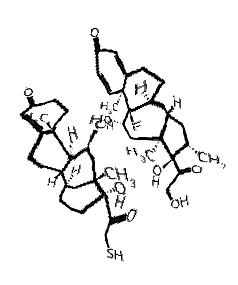 C[C@H]1C[C@H]2[C@@H]3CCC4=CC(=O)C=C[C@]4(C)[C@@]3(F)[C@@H](O)C[C@]2(C)[C@@]1(O)C(=O)CO.C[C@]12CCC(=O)C=C1CC[C@@H]1[C@@H]2[C@@H](O)C[C@@]2(C)[C@H]1CC[C@]2(O)C(=O)CS